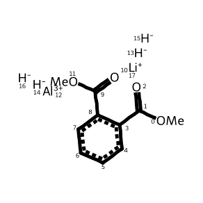 COC(=O)c1ccccc1C(=O)OC.[Al+3].[H-].[H-].[H-].[H-].[Li+]